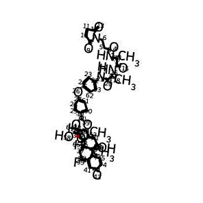 C[C@H](NC(=O)CCN1C(=O)C=CC1=O)C(=O)N[C@@H](C)C(=O)Nc1ccc(Oc2ccc([C@@H]3O[C@@H]4CC5[C@@H]6C[C@H](F)C7=CC(=O)C=C[C@]7(C)C6[C@@H](O)C[C@]5(C)[C@]4(C(=O)CO)O3)cc2)cc1